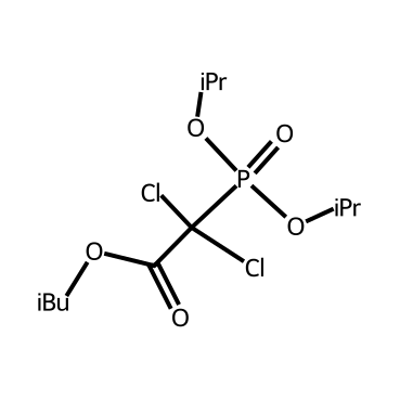 CCC(C)OC(=O)C(Cl)(Cl)P(=O)(OC(C)C)OC(C)C